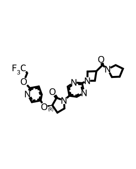 O=C(C1CN(c2ncc(N3CC[C@@H](Oc4ccc(OCC(F)(F)F)nc4)C3=O)cn2)C1)N1CCCC1